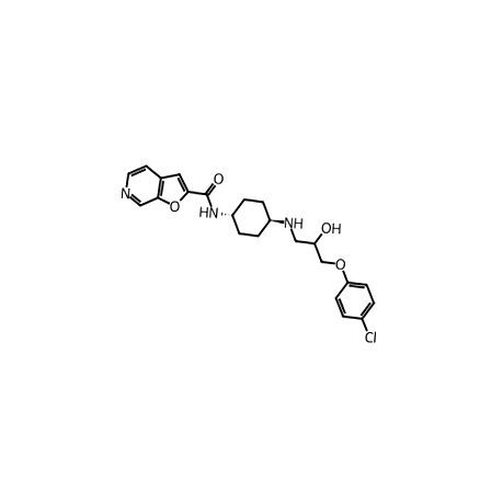 O=C(N[C@H]1CC[C@H](NCC(O)COc2ccc(Cl)cc2)CC1)c1cc2ccncc2o1